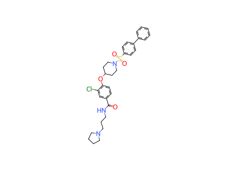 O=C(NCCCN1CCCC1)c1ccc(OC2CCN(S(=O)(=O)c3ccc(-c4ccccc4)cc3)CC2)c(Cl)c1